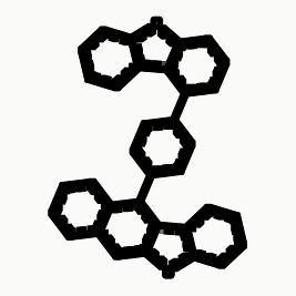 c1ccc2c(-c3ccc(-c4cccc5oc6ccccc6c45)cc3)c3c(cc2c1)oc1ccccc13